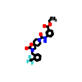 CCOC(=O)c1cccc(NC(=O)N2CCC3(CC2)CN(Cc2ccccc2C(F)(F)F)C(=O)O3)c1